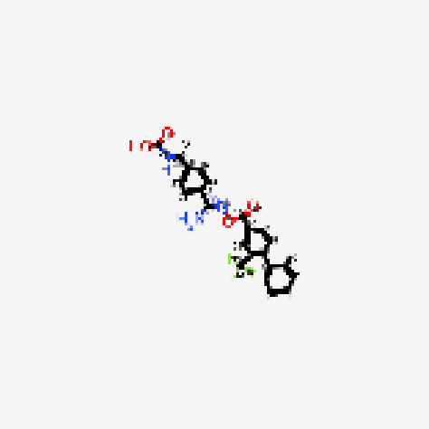 Cc1ccccc1-c1ccc(C(=O)O/N=C(\N)c2ccc([C@@H](C)NC(=O)O)cc2)cc1C(F)(F)F